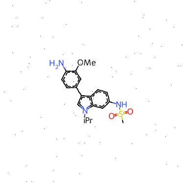 COc1cc(-c2cn(C(C)C)c3cc(NS(C)(=O)=O)ccc23)ccc1N